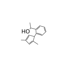 CC1=CC(c2ccccc2C(C)O)C(C)=C1